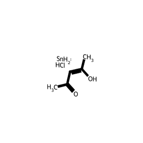 CC(=O)/C=C(/C)O.Cl.[SnH2]